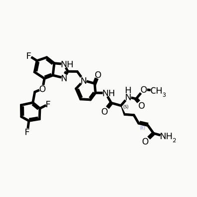 COC(=O)N[C@@H](CC/C=C/C(N)=O)C(=O)Nc1cccn(Cc2nc3c(OCc4ccc(F)cc4F)cc(F)cc3[nH]2)c1=O